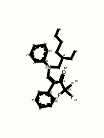 CCCCC(CC)CN(/C=C(\C(=O)C(F)(F)F)c1ccccc1)c1ccccc1